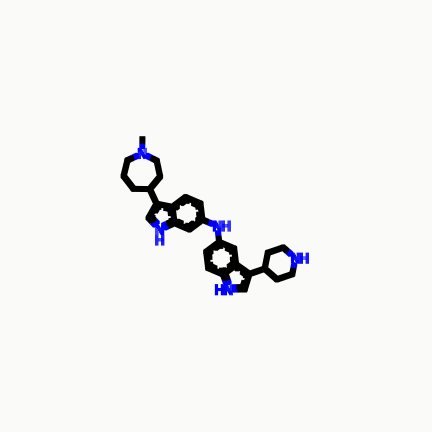 CN1CCCC(c2c[nH]c3cc(Nc4ccc5[nH]cc(C6CCNCC6)c5c4)ccc23)CC1